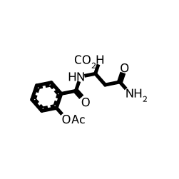 CC(=O)Oc1ccccc1C(=O)NC(CC(N)=O)C(=O)O